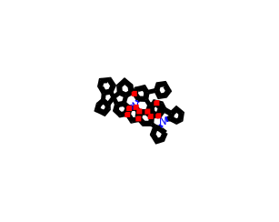 c1ccc(-c2ccccc2-c2c(-c3ccccc3)cccc2N(c2ccc(-c3ccccc3-n3c4ccccc4c4ccccc43)cc2)c2cccc3c2-c2ccccc2C32c3ccccc3-c3ccccc32)cc1